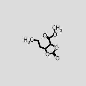 CCCC1OC(=O)OC1C(=O)OC